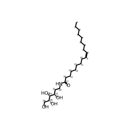 CCCCCCCC/C=C\CCCCCCCC(=O)NCC[C@@H](O)[C@H](O)[C@H](O)CO